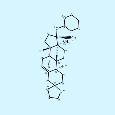 C#C[C@]1(OC2CCCCO2)CC[C@H]2[C@@H]3CC=C4CC5(CC[C@@H]4[C@H]3CC[C@@]21C)OCCO5